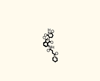 O=C1CCC(N2C(=O)c3cccc(NC(=O)CCC(=O)N4CC[CH]CC4)c3C2=O)C(=O)N1